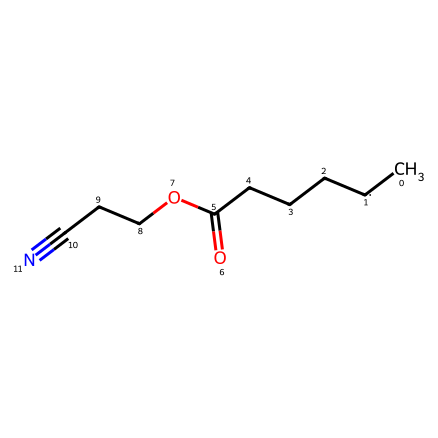 C[CH]CCCC(=O)OCCC#N